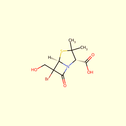 CC1(C)S[C@H]2N(C(=O)C2(Br)CO)[C@H]1C(=O)O